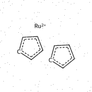 [Ru+2].c1cc[cH-]c1.c1cc[cH-]c1